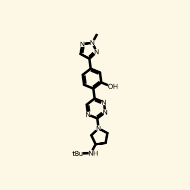 Cn1ncc(-c2ccc(-c3cnc(N4CCC(NC(C)(C)C)C4)nn3)c(O)c2)n1